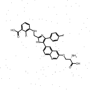 N[C@@H](COc1cnc2ccc(-c3[nH]c(CNc4cccc(C(=O)O)c4F)nc3-c3ccc(F)cc3)cc2c1)C(=O)O